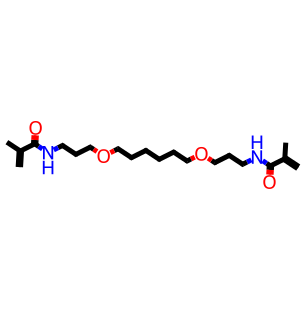 C=C(C)C(=O)NCCCOCCCCCCOCCCNC(=O)C(=C)C